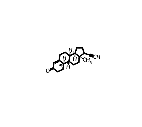 C#CC1CC[C@@H]2[C@@H]3CCC4=CC(=O)CC[C@@H]4[C@@H]3CC[C@]12C